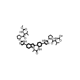 COC(=O)N[C@H](C(=O)N1CCC[C@H]1c1ncc(-c2ccc3c(c2)NC(=O)C(C)n2c-3cc3cc(-c4cnc([C@@H]5CCCN5C(=O)[C@@H](NC(=O)OC)C(C)C)[nH]4)ccc32)[nH]1)C(C)C